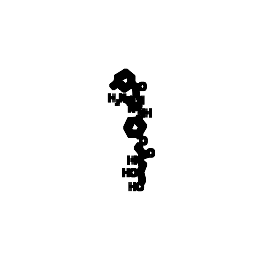 Cc1cccc(C(=O)n2nc(Nc3cccc(OCC(=O)NCC(O)CO)c3)nc2N)c1